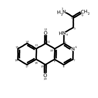 C=C(N)CNc1nccc2c1C(=O)c1ccccc1C2=O